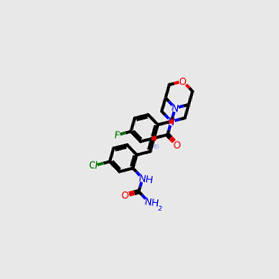 NC(=O)Nc1cc(Cl)ccc1/C=C/C(=O)N1CC2COCC(C1)N2Cc1ccc(F)cc1